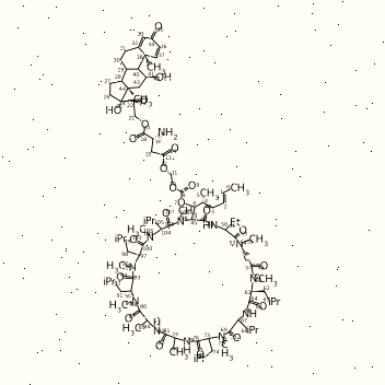 C/C=C/C[C@@H](C)C(OC(=O)OCOC(=O)C[C@@H](N)C(=O)OCC(=O)[C@@]1(O)CCC2C3CCC4=CC(=O)C=C[C@]4(C)C3[C@@H](O)C[C@@]21C)C1C(=O)NC(CC)C(=O)N(C)CC(=O)N(C)[C@@H](CC(C)C)C(=O)NC(C(C)C)C(=O)N(C)C(CC(C)C)C(=O)NC(C)C(=O)NC(C)C(=O)N(C)C(CC(C)C)C(=O)N(C)C(CC(C)C)C(=O)N(C)C(C(C)C)C(=O)N1C